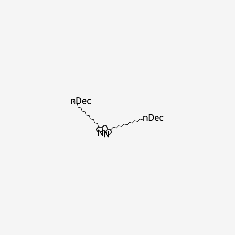 CCCCCCCCCCCCCCCCCCCCCCc1ccnc2c1ccc1c(CCCCCCCCCCCCCCCCCCCCCC)ccnc12